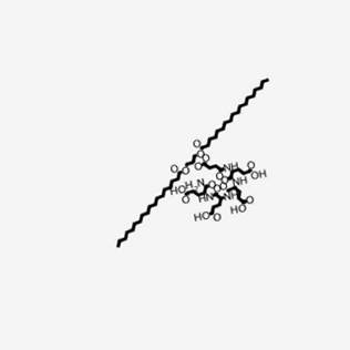 CCCCCCCCCCCCCCCCCC(=O)OCC(COC(=O)CCCCCCCCCCCCCCCCC)OC(=O)CCC(=O)NC(CCC(=O)O)C(=O)NC(CCC(=O)O)C(=O)NC(CCC(=O)O)C(=O)NC(CCC(=O)O)C(N)=O